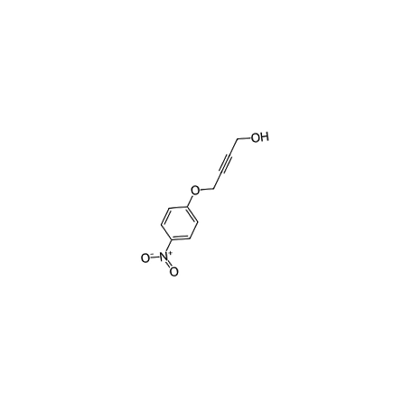 O=[N+]([O-])c1ccc(OCC#CCO)cc1